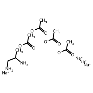 CC(=O)[O-].CC(=O)[O-].CC(=O)[O-].CC(=O)[O-].CC(N)CN.[Na+].[Na+].[Na+].[Na+]